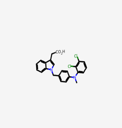 CN(c1ccc(Cn2cc(CC(=O)O)c3ccccc32)cc1)c1cccc(Cl)c1Cl